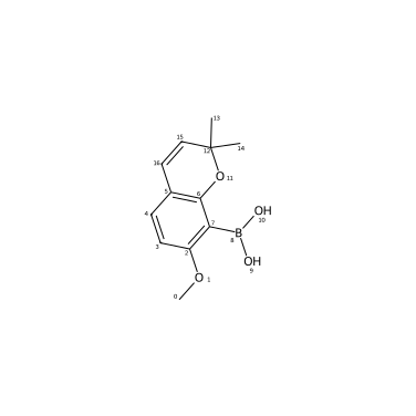 COc1ccc2c(c1B(O)O)OC(C)(C)C=C2